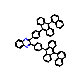 c1ccc2c(-c3c4ccccc4c(-c4ccc(-c5nc6ccccc6nc5-c5ccc(-c6c7ccccc7c(-c7cccc8ccccc78)c7ccccc67)cc5)cc4)c4ccccc34)cccc2c1